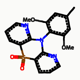 COc1cc(C)cc(OC)c1N1c2ncccc2S(=O)(=O)c2cccnc21